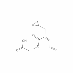 C=CC=C(CC1CO1)C(=O)OC.CC(=O)O